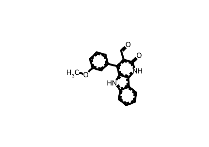 COc1cccc(-c2c(C=O)c(=O)[nH]c3c2[nH]c2ccccc23)c1